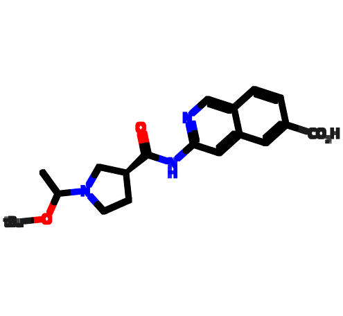 CC(OC(C)(C)C)N1CC[C@H](C(=O)Nc2cc3cc(C(=O)O)ccc3cn2)C1